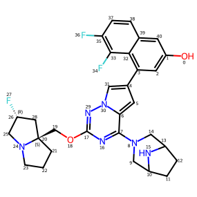 Oc1cc(-c2cc3c(N4CC5CCC(C4)N5)nc(OC[C@@]45CCCN4C[C@H](F)C5)nn3c2)c2c(F)c(F)ccc2c1